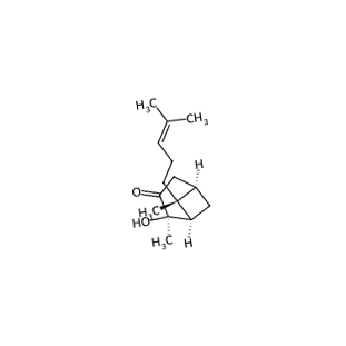 CC(C)=CCC[C@]1(C)[C@H]2CC(=O)[C@](C)(O)[C@@H]1C2